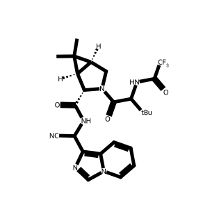 CC(C)(C)C(NC(=O)C(F)(F)F)C(=O)N1C[C@H]2[C@@H]([C@H]1C(=O)NC(C#N)c1ncn3ccccc13)C2(C)C